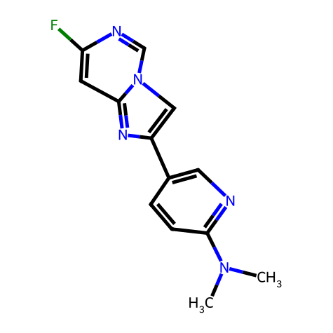 CN(C)c1ccc(-c2cn3cnc(F)cc3n2)cn1